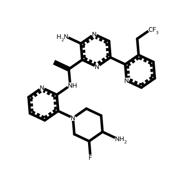 C=C(Nc1ncccc1N1CCC(N)C(F)C1)c1nc(-c2ncccc2CC(F)(F)F)cnc1N